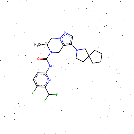 C[C@H]1Cn2ncc(N3CCC4(CCCC4)C3)c2CN1C(=O)Nc1ccc(F)c(C(F)F)n1